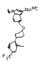 CC(=O)Nc1c[nH]c2ccc(OC3CC(c4ccc(C(F)(F)F)cc4C)C3)cc12